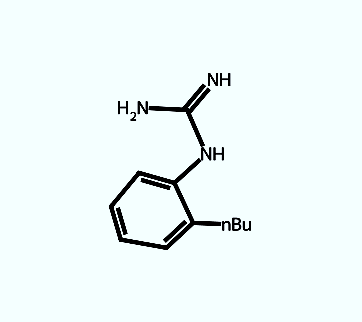 CCCCc1ccccc1NC(=N)N